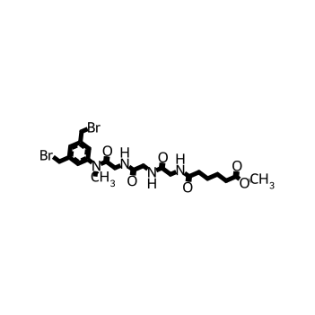 COC(=O)CCCCC(=O)NCC(=O)NCC(=O)NCC(=O)N(C)c1cc(CBr)cc(CBr)c1